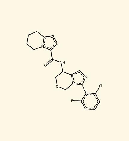 O=C(NC1COCc2c1cnn2-c1c(F)cccc1Cl)c1ncc2n1CCCC2